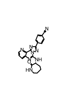 N#Cc1ccc(-c2nc3c4ncccc4nc(N[C@@H]4CCCCNC4=O)n3n2)cc1